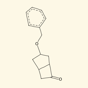 O=C1CC2CC(OCc3ccccc3)CC12